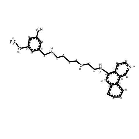 N#Cc1cc(CNCCCCOCCNc2nc3ccccc3c3cnccc23)cc(OC(F)(F)F)c1